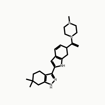 C=C(C1C=Cc2cc(-c3n[nH]c4c3CCC(C)(C)C4)[nH]c2C1)N1CCN(C)CC1